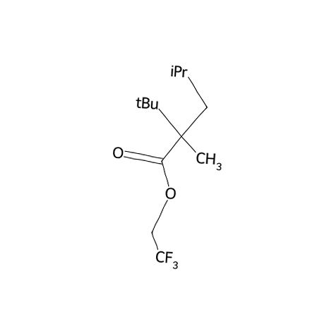 CC(C)CC(C)(C(=O)OCC(F)(F)F)C(C)(C)C